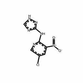 O=[N+]([O-])c1cc(Cl)cnc1Nc1nc[nH]n1